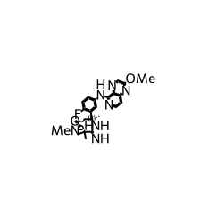 CN[SH]1(=O)C[C@@](C)(c2cc(Nc3nccc4nc(OC)cnc34)ccc2F)NC(=N)C1(C)C